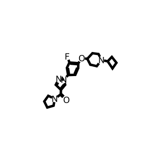 O=C(c1cnn(-c2ccc(OC3CCN(C4CCC4)CC3)c(F)c2)c1)N1CCCC1